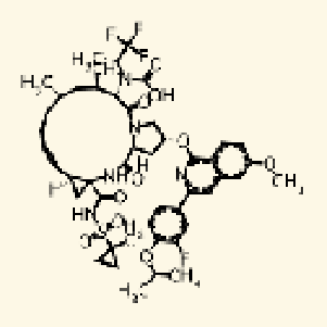 COc1ccc2c(O[C@@H]3C[C@H]4C(=O)N[C@]5(C(=O)NS(=O)(=O)C6(C)CC6)C[C@H]5C=CCC[C@H](C)C[C@@H](C)[C@H](N(C(=O)O)[C@H](C)C(F)(F)F)C(=O)N4C3)nc(-c3ccc(OC(C)C)c(F)c3)cc2c1